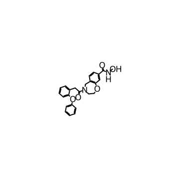 O=C(NO)c1ccc2c(c1)OCCN(C(=O)Cc1ccccc1Oc1ccccc1)C2